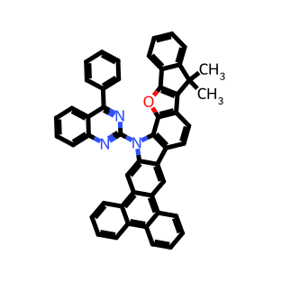 CC1(C)c2ccccc2-c2oc3c(ccc4c5cc6c7ccccc7c7ccccc7c6cc5n(-c5nc(-c6ccccc6)c6ccccc6n5)c43)c21